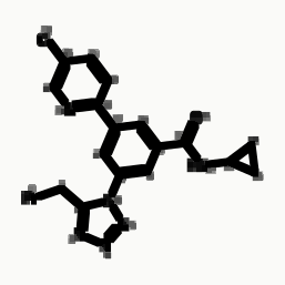 CC(C)Cc1nnnn1-c1cc(C(=O)NC2CC2)cc(-c2ccc(Cl)cn2)c1